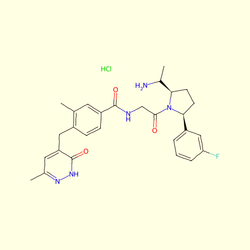 Cc1cc(Cc2ccc(C(=O)NCC(=O)N3[C@@H](C(C)N)CC[C@H]3c3cccc(F)c3)cc2C)c(=O)[nH]n1.Cl